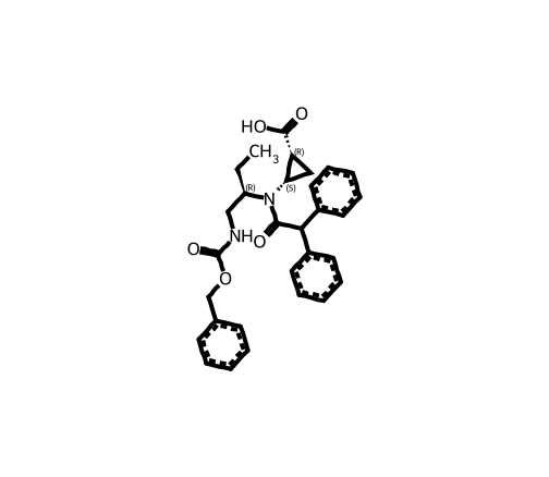 CC[C@H](CNC(=O)OCc1ccccc1)N(C(=O)C(c1ccccc1)c1ccccc1)[C@H]1C[C@H]1C(=O)O